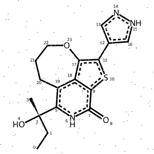 CC[C@](C)(O)c1[nH]c(=O)c2sc(-c3cn[nH]c3)c3c2c1CCCO3